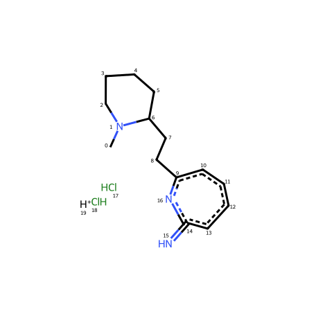 CN1CCCCC1CCc1ccccc(=N)n1.Cl.Cl.[H+]